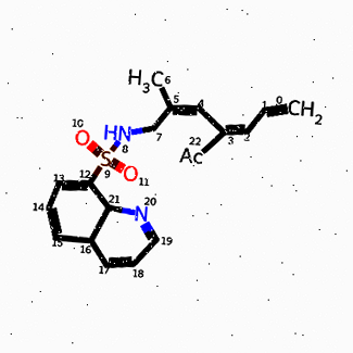 C=C/C=C(\C=C(\C)CNS(=O)(=O)C1=CC=CC2C=CC=NC12)C(C)=O